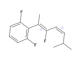 C/C(=C(F)\C=C/C(C)C)c1c(F)cccc1F